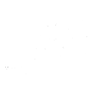 COC(=O)CCCc1ccc2c3cccc4cccc(c5cccc1c52)c43